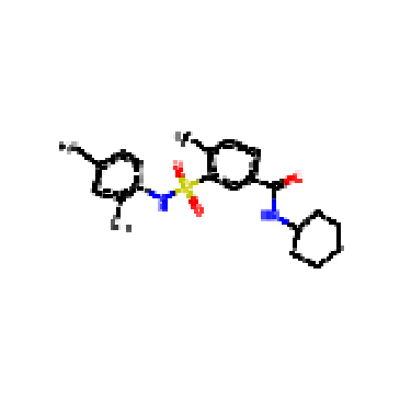 Cc1ccc(NS(=O)(=O)c2cc(C(=O)NC3CCCCC3)ccc2C)c(C)c1